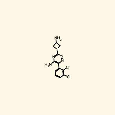 Nc1nc(N2CC(N)C2)nnc1-c1cccc(Cl)c1Cl